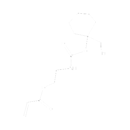 C=CC(=O)OCCNC(=O)OC1(CC(C)C)CCCCC1